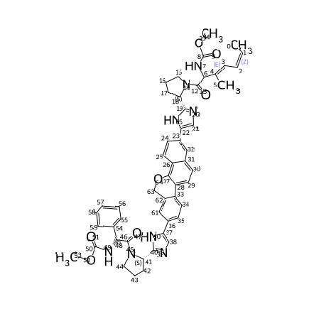 C/C=C\C=C(/C)C(NC(=O)OC)C(=O)N1CCC[C@H]1c1ncc(-c2ccc3c4c(ccc3c2)-c2ccc(-c3cnc([C@@H]5CCCN5C(=O)[C@H](NC(=O)OC)c5ccccc5)[nH]3)cc2CO4)[nH]1